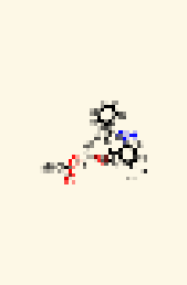 CCCCC(=O)OC[C@@H]1CC[C@@H]2[C@@H](c3ccccc3)Nc3ccc(C(C)C)cc3[C@@H]2O1